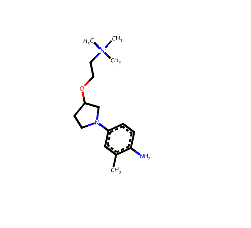 Cc1cc(N2CCC(OCC[N+](C)(C)C)C2)ccc1N